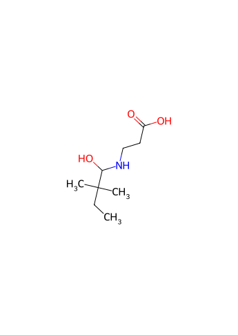 CCC(C)(C)C(O)NCCC(=O)O